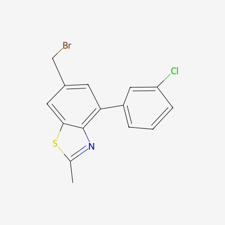 Cc1nc2c(-c3cccc(Cl)c3)cc(CBr)cc2s1